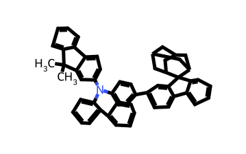 CC1(C)c2ccccc2-c2ccc(N(c3ccc(-c4ccc5c(c4)C4(c6ccccc6-5)C5CC6CC(C5)CC4C6)cc3)c3ccccc3-c3ccccc3)cc21